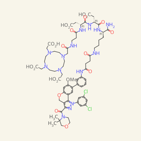 COc1cc2c(cc1-c1cccc(NC(=O)CCC(=O)NCCCC[C@@H](NC(=O)[C@@H](CC(=O)O)NC(=O)[C@@H](CC(=O)O)NC(=O)CCNC(=O)CN3CCN(CC(=O)O)CCN(CC(=O)O)CCN(CC(=O)O)CC3)C(N)=O)c1)-c1c(c(C(=O)N3CCOCC3(C)C)nn1-c1cc(Cl)cc(Cl)c1)CO2